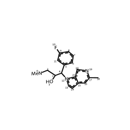 CNCC(O)C(c1cccc(F)c1)n1ccc2cc(C)ncc21